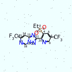 CCS(=O)(=O)c1cc(C(F)(F)F)cnc1-c1nc2cc(C(F)(F)F)ncn2n1